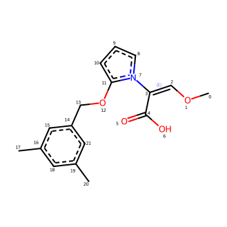 CO/C=C(\C(=O)O)n1cccc1OCc1cc(C)cc(C)c1